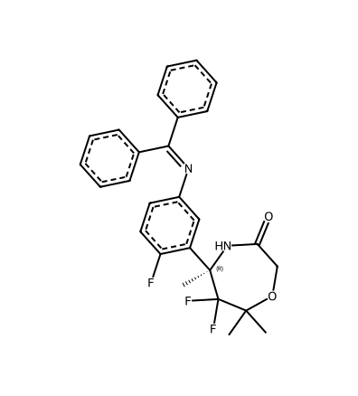 CC1(C)OCC(=O)N[C@](C)(c2cc(N=C(c3ccccc3)c3ccccc3)ccc2F)C1(F)F